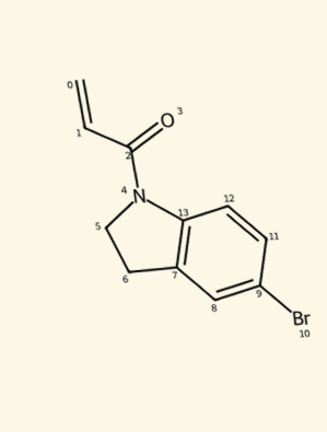 C=CC(=O)N1CCc2cc(Br)ccc21